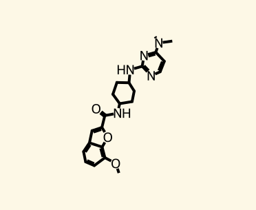 COc1cccc2cc(C(=O)NC3CCC(Nc4nccc(N(C)C)n4)CC3)oc12